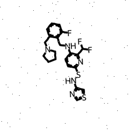 Fc1cccc(CN2CCCC2)c1CNc1ccc(SNc2cscn2)nc1C(F)F